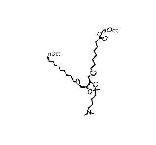 CCCCCCCC/C=C\CCCCCCCCOCC1OC(C)(CCCCN(C)C)OC1COCCCCCCCC(=O)OCCCCCCCC